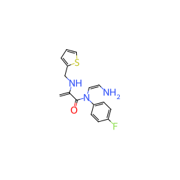 C=C(NCc1cccs1)C(=O)N(/C=C\N)c1ccc(F)cc1